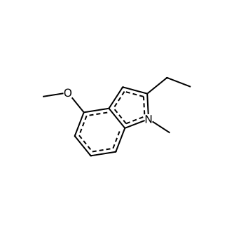 CCc1cc2c(OC)cccc2n1C